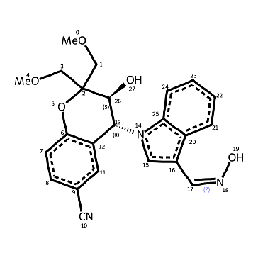 COCC1(COC)Oc2ccc(C#N)cc2[C@@H](n2cc(/C=N\O)c3ccccc32)[C@@H]1O